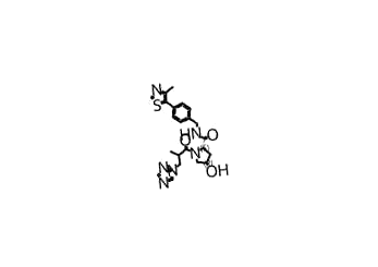 Cc1ncsc1-c1ccc(CNC(=O)[C@@H]2C[C@@H](O)CN2C(=O)C(C)Cn2cncn2)cc1